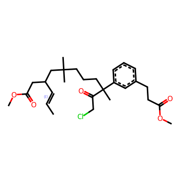 C/C=C/C(CC(=O)OC)CC(C)(C)CCCC(C)(C(=O)CCl)c1cccc(CCC(=O)OC)c1